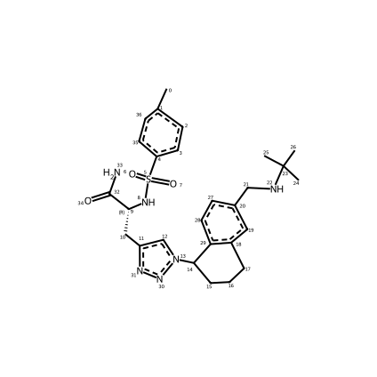 Cc1ccc(S(=O)(=O)N[C@H](Cc2cn(C3CCCc4cc(CNC(C)(C)C)ccc43)nn2)C(N)=O)cc1